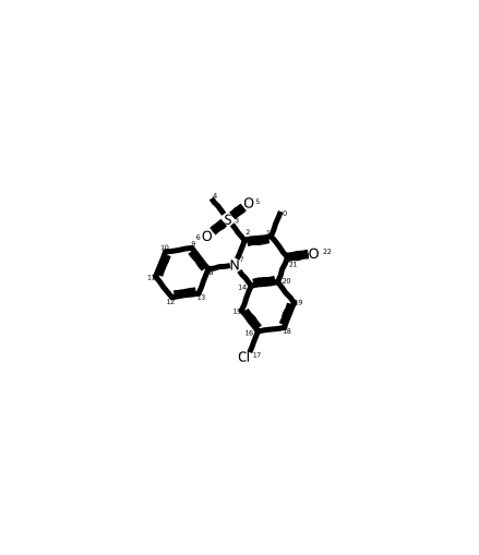 Cc1c(S(C)(=O)=O)n(-c2ccccc2)c2cc(Cl)ccc2c1=O